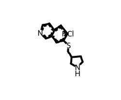 Cl.c1cc2ccc(SCC3CCNC3)cc2cn1